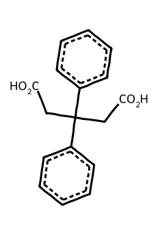 O=C(O)CC(CC(=O)O)(c1ccccc1)c1ccccc1